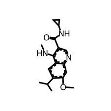 CNc1c(C(=O)NC2CC2)cnc2cc(OC)c(C(C)C)cc12